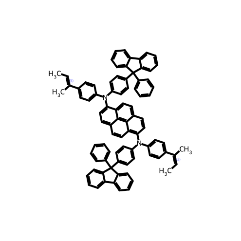 C/C=C(/C)c1ccc(N(c2ccc(C3(c4ccccc4)c4ccccc4-c4ccccc43)cc2)c2ccc3ccc4c(N(c5ccc(/C(C)=C/C)cc5)c5ccc(C6(c7ccccc7)c7ccccc7-c7ccccc76)cc5)ccc5ccc2c3c54)cc1